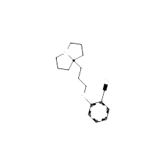 N#Cc1ccccc1NCCCC12CCCN1CCC2